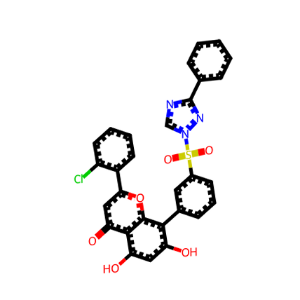 O=c1cc(-c2ccccc2Cl)oc2c(-c3cccc(S(=O)(=O)n4cnc(-c5ccccc5)n4)c3)c(O)cc(O)c12